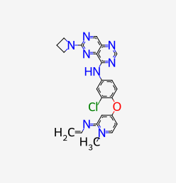 C=C/N=c1/cc(Oc2ccc(Nc3ncnc4cnc(N5CCC5)nc34)cc2Cl)ccn1C